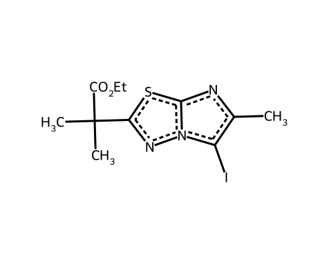 CCOC(=O)C(C)(C)c1nn2c(I)c(C)nc2s1